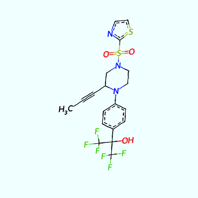 CC#CC1CN(S(=O)(=O)c2nccs2)CCN1c1ccc(C(O)(C(F)(F)F)C(F)(F)F)cc1